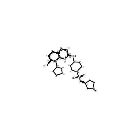 CN1CC/C(=C\S(=O)(=O)N2CCC(Nc3ncc4ccc(=O)n(C5CCCC5)c4n3)CC2)C1